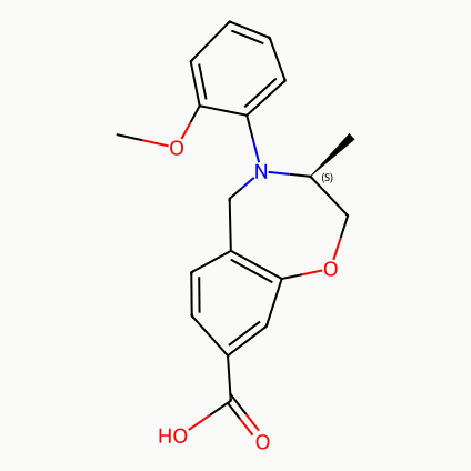 COc1ccccc1N1Cc2ccc(C(=O)O)cc2OC[C@@H]1C